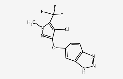 Cn1nc(Oc2ccc3nn[nH]c3c2)c(Cl)c1C(F)(F)F